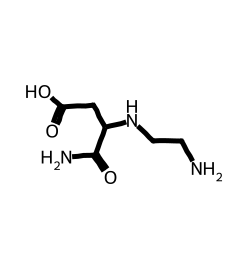 NCCNC(CC(=O)O)C(N)=O